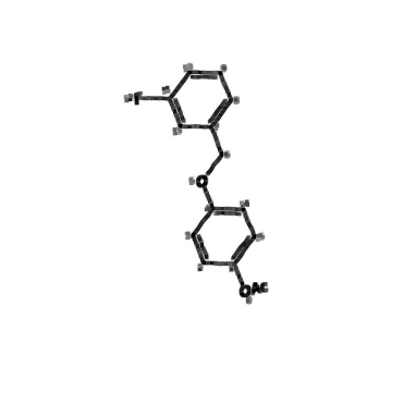 CC(=O)Oc1ccc(OCc2cccc(F)c2)cc1